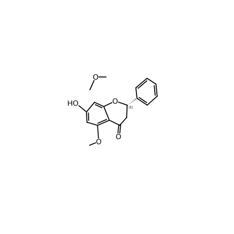 COC.COc1cc(O)cc2c1C(=O)C[C@@H](c1ccccc1)O2